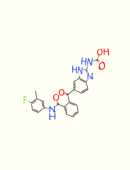 Cc1cc(NC(=O)c2ccccc2C(=O)c2ccc3nc(NC(=O)O)[nH]c3c2)ccc1F